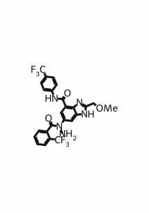 COCc1nc2c(C(=O)Nc3ccc(C(F)(F)F)cc3)cc(N(N)C(=O)c3ccccc3C(F)(F)F)cc2[nH]1